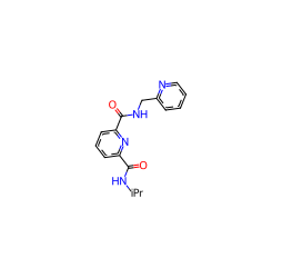 CC(C)NC(=O)c1cccc(C(=O)NCc2ccccn2)n1